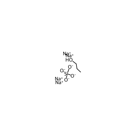 CCCO.[Na+].[Na+].[Na+].[Na+].[O-][Si]([O-])([O-])[O-]